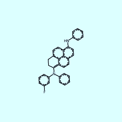 Fc1cccc(N(C2=c3ccc4ccc(Nc5ccccc5)c5ccc(c3c45)CC2)c2ccccc2)c1